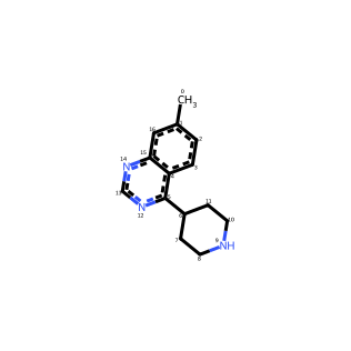 Cc1ccc2c(C3CCNCC3)ncnc2c1